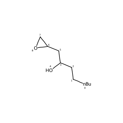 CCCCCCC(O)CC1CO1